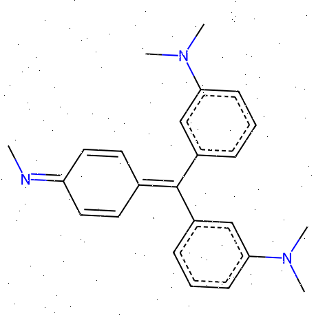 CN=C1C=CC(=C(c2cccc(N(C)C)c2)c2cccc(N(C)C)c2)C=C1